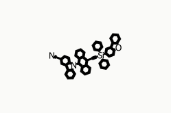 N#Cc1ccc2c(c1)c1ccccc1n2-c1c2ccccc2c(C#C[Si](c2ccccc2)(c2ccccc2)c2ccc3oc4ccccc4c3c2)c2ccccc12